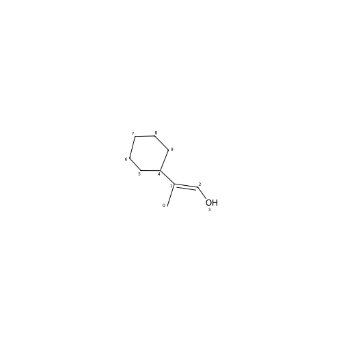 CC(=CO)C1CCCCC1